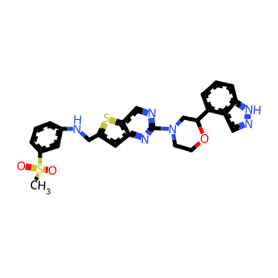 CS(=O)(=O)c1cccc(NCc2cc3nc(N4CCOC(c5cccc6[nH]ncc56)C4)ncc3s2)c1